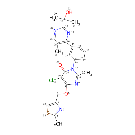 Cc1nc(COc2nc(C)n(-c3cccc(-c4nc(C(C)(C)O)ncc4C)c3)c(=O)c2Cl)cs1